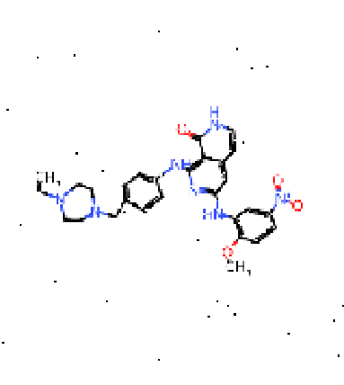 CCN1CCN(Cc2ccc(Nc3nc(Nc4cc([N+](=O)[O-])ccc4OC)cc4cc[nH]c(=O)c34)cc2)CC1